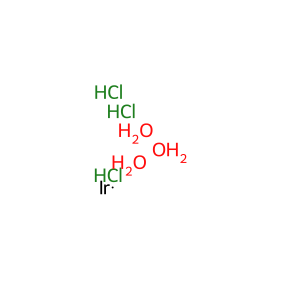 Cl.Cl.Cl.O.O.O.[Ir]